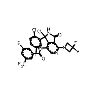 O=C(Nc1cnc(N2CC(F)(F)C2)c2c1C(Cl)(c1cc(F)ccc1Cl)NC2=O)c1cc(F)cc(C(F)(F)F)c1